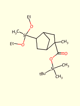 CCO[Si](C)(OCC)C1CC2CC1CC2(C)C(=O)O[Si](C)(C)C(C)(C)C